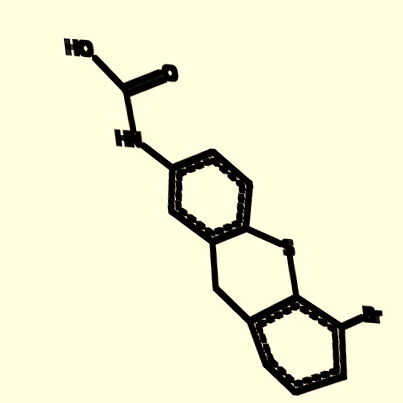 O=C(O)Nc1ccc2c(c1)Cc1cccc(Br)c1S2